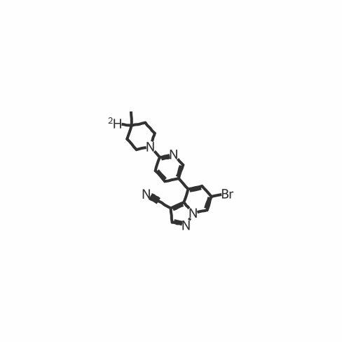 [2H]C1(C)CCN(c2ccc(-c3cc(Br)cn4ncc(C#N)c34)cn2)CC1